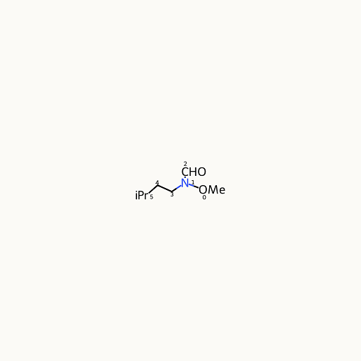 CON(C=O)CCC(C)C